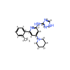 FC(F)(F)c1ccccc1-c1cc(N2CCCCC2)cc(Nc2nc[nH]n2)n1